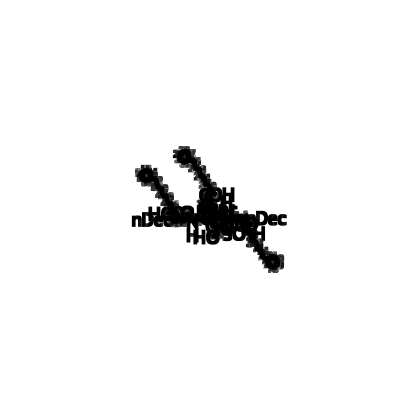 CCCCCCCCCCC[C@H](CC(=O)NC1C(NC(=O)C[C@@H](CCCCCCCCCCC)OC(O)CCCCCCCc2ccccc2)[C@H](OCCNC(=O)C[C@@H](CCCCCCCCCCC)OC(O)CCCCCCCc2ccccc2)OC(CO)[C@H]1OS(=O)(=O)O)OC(=O)CCCCCCCc1ccccc1